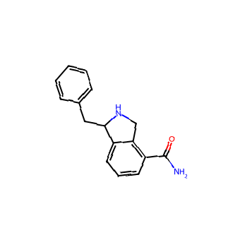 NC(=O)c1cccc2c1CNC2Cc1ccccc1